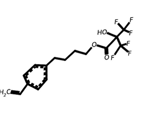 C=Cc1ccc(CCCCOC(=O)C(O)(C(F)(F)F)C(F)(F)F)cc1